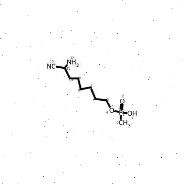 CP(=O)(O)OCCCCCCC(N)C#N